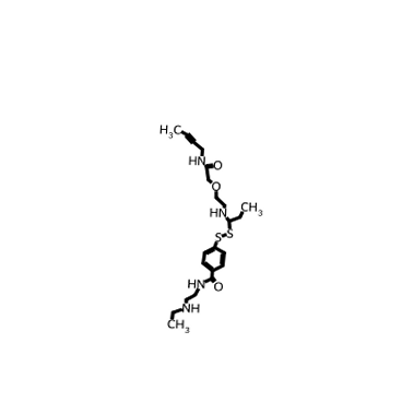 CC#CCNC(=O)COCCNC(CC)SSc1ccc(C(=O)NCCNCC)cc1